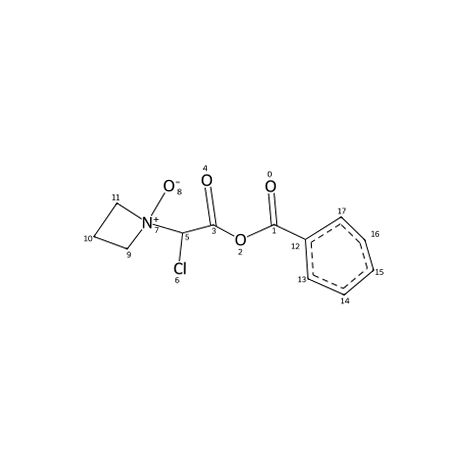 O=C(OC(=O)C(Cl)[N+]1([O-])CCC1)c1ccccc1